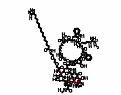 CCCC[C@H](NC(=O)[C@H](CN(CC(=O)O)CC(=O)O)NC(=O)[C@H](Cc1c[nH]cn1)NC(=O)[C@H](CCC(N)=O)NC(=O)[C@H](CO)NC(=O)CNC(=O)COCCOCCNC(=O)CCCCCCCCCCCCCCCc1nnn[nH]1)C(=O)N[C@H]1CCC(=O)NCCCC[C@@H](C(N)=O)NC(=O)[C@H](Cc2c[nH]c3ccccc23)NC(=O)[C@H](CCCNC(N)N)NC(=O)[C@@H](Cc2ccccc2)NC(=O)C2C[C@@H](O)CN2C1=O